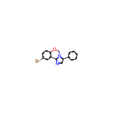 Brc1ccc2c(c1)-c1ncc(-c3ccccc3)n1CO2